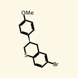 COc1ccc([C@@H]2CSc3ccc(Br)cc3C2)cc1